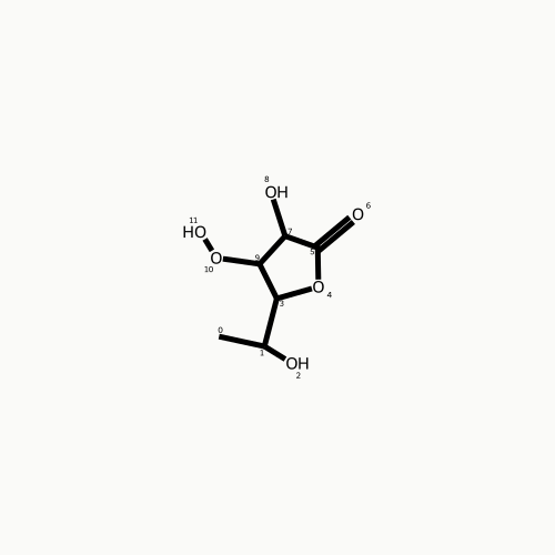 CC(O)C1OC(=O)C(O)C1OO